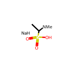 CNC(C)S(=O)(=O)O.[NaH]